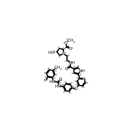 COC(=O)[C@@H]1C[C@@H](O)CN1CCNC(=O)c1c[nH]c(-c2cc(Oc3ccc(NC(=O)Nc4cc(C)ccc4F)cc3)ccn2)c1